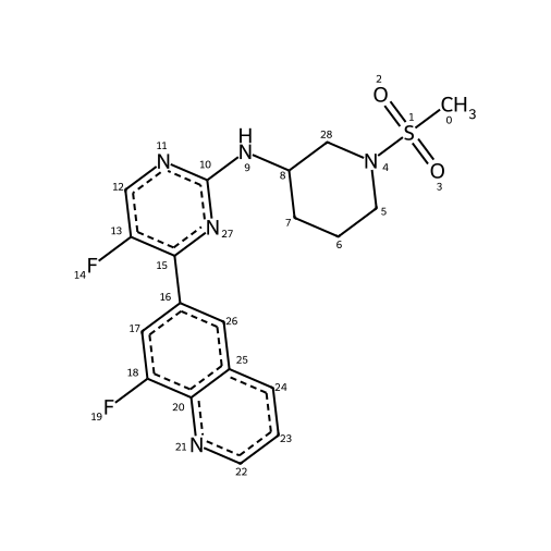 CS(=O)(=O)N1CCCC(Nc2ncc(F)c(-c3cc(F)c4ncccc4c3)n2)C1